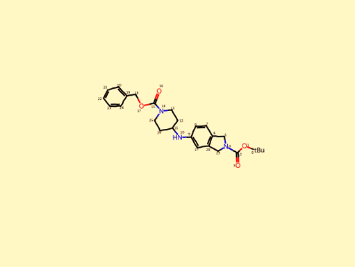 CC(C)(C)OC(=O)N1Cc2ccc(NC3CCN(C(=O)OCc4ccccc4)CC3)cc2C1